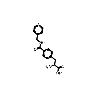 N[C@@H](Cc1ccc(C(=O)NCc2ccncc2)cc1)C(=O)O